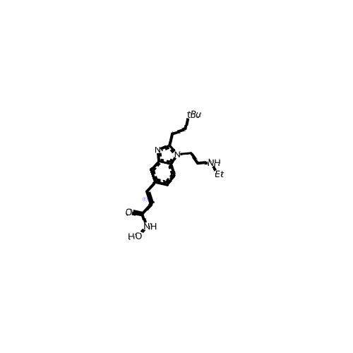 CCNCCn1c(CCC(C)(C)C)nc2cc(/C=C/C(=O)NO)ccc21